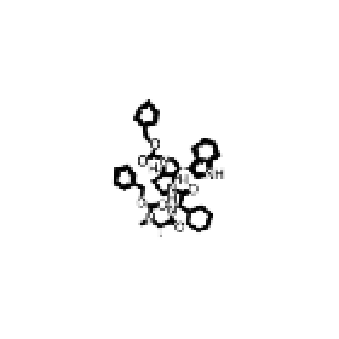 C[C@@H](C(=O)N[C@H](C(=O)N1CC[C@@H]2[C@H]1[C@@H](c1c[nH]c3ccccc13)CN2C(=O)OCc1ccccc1)C1CCCCC1)N(C)C(=O)OCc1ccccc1